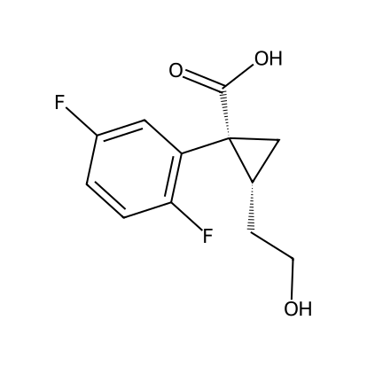 O=C(O)[C@]1(c2cc(F)ccc2F)C[C@@H]1CCO